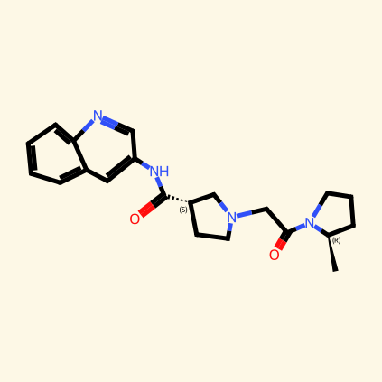 C[C@@H]1CCCN1C(=O)CN1CC[C@H](C(=O)Nc2cnc3ccccc3c2)C1